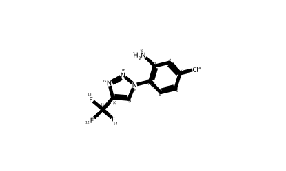 Nc1cc(Cl)ccc1-n1cc(C(F)(F)F)nn1